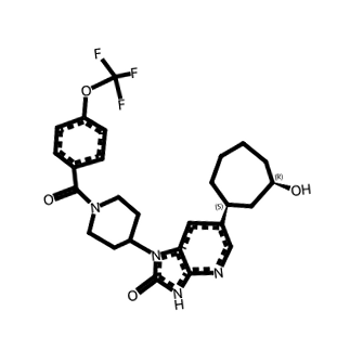 O=C(c1ccc(OC(F)(F)F)cc1)N1CCC(n2c(=O)[nH]c3ncc([C@H]4CCCC[C@@H](O)C4)cc32)CC1